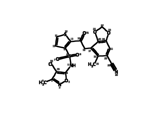 Cc1noc(NS(=O)(=O)c2ccsc2C(=O)Cc2c(C)c(C#N)cc3c2OCO3)c1Cl